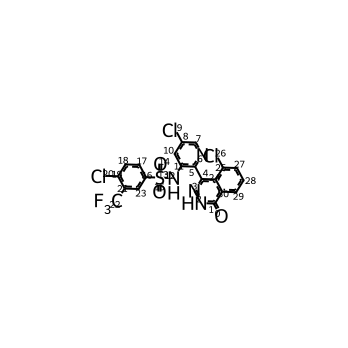 O=c1[nH]nc(-c2ncc(Cl)cc2NS(=O)(=O)c2ccc(Cl)c(C(F)(F)F)c2)c2c(Cl)cccc12